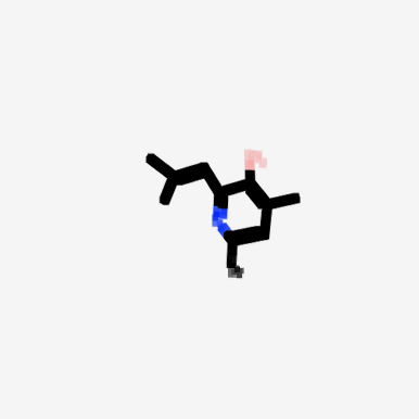 Bc1c(C)cc(C(C)C)nc1C=C(C)C